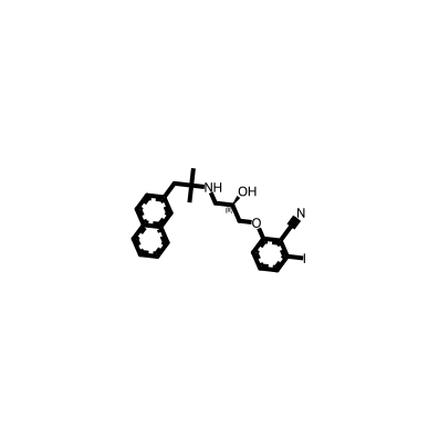 CC(C)(Cc1ccc2ccccc2c1)NC[C@@H](O)COc1cccc(I)c1C#N